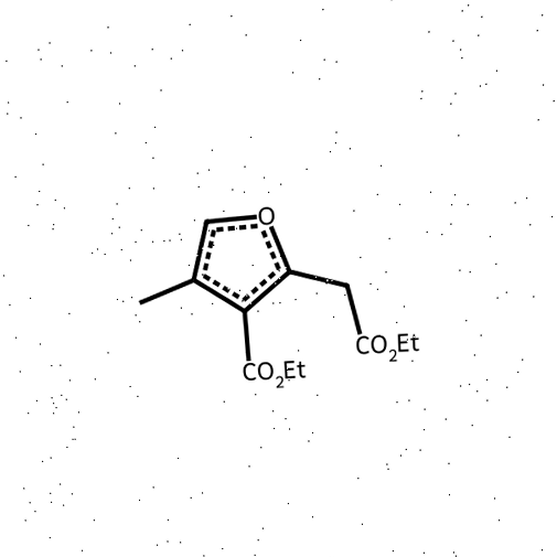 CCOC(=O)Cc1occ(C)c1C(=O)OCC